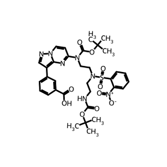 CC(C)(C)OC(=O)NCCN(CCN(C(=O)OC(C)(C)C)c1ccn2ncc(-c3cccc(C(=O)O)c3)c2n1)S(=O)(=O)c1ccccc1[N+](=O)[O-]